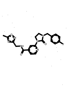 Cc1nc(CNC(=O)c2ccnc(N3CCN(Cc4ccc(F)cc4)C3=O)c2)no1